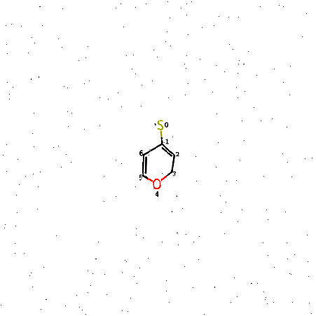 [S]C1=CCOC=C1